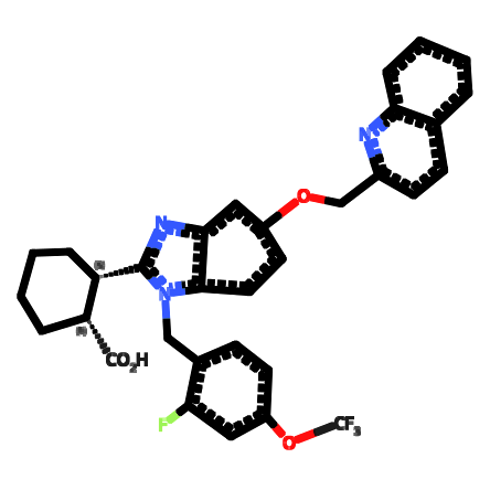 O=C(O)[C@@H]1CCCC[C@@H]1c1nc2cc(OCc3ccc4ccccc4n3)ccc2n1Cc1ccc(OC(F)(F)F)cc1F